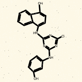 Oc1cccc(Nc2nc(Cl)nc(Nc3ccc(O)c4ccccc34)n2)c1